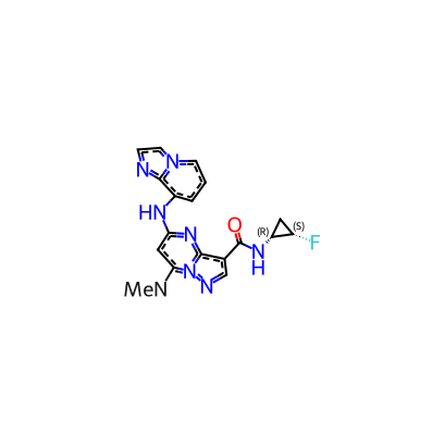 CNc1cc(Nc2cccn3ccnc23)nc2c(C(=O)N[C@@H]3C[C@@H]3F)cnn12